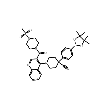 CC1(C)OB(c2ccc(C3(C#N)CCN(c4c(C(=O)N5CCN(S(C)(=O)=O)CC5)cnc5ccccc45)CC3)cc2)OC1(C)C